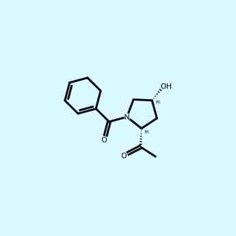 CC(=O)[C@H]1C[C@@H](O)CN1C(=O)C1=CC=CCC1